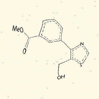 COC(=O)c1cccc(-c2ncsc2CO)c1